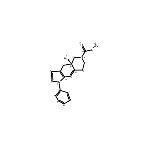 CC(=O)[C@]12Cc3cnn(-c4ccccc4)c3C=C1CCN(C(=O)OC(C)(C)C)C2